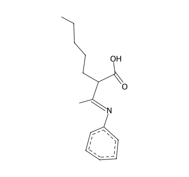 CCCCCC(C(=O)O)C(C)=Nc1ccccc1